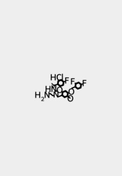 COc1cc(CN(CCN)C(=O)N[C@@H](C)c2ccc(F)cc2)ccc1OCc1ccc(F)cc1F.Cl